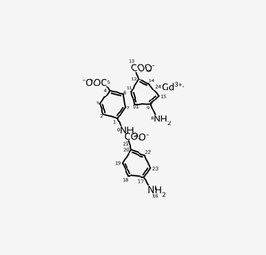 Nc1ccc(C(=O)[O-])cc1.Nc1ccc(C(=O)[O-])cc1.Nc1ccc(C(=O)[O-])cc1.[Gd+3]